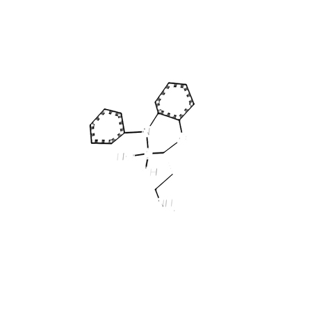 NCC[C@H]1Oc2ccccc2N(c2ccccc2)S1(O)O